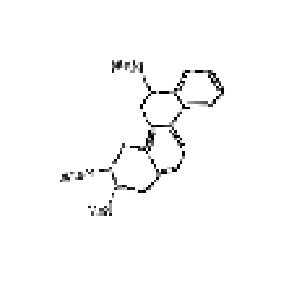 CNC1Cc2c(ccc3c2CC(NC)C(NC)C3)-c2ccccc21